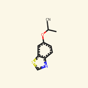 CC(C#N)Oc1ccc2ncsc2c1